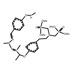 COP(=O)(CN(CCc1ccc(OC(C)/S(C)=P/N(C)/N=C/c2ccc(OPC)cc2)cc1)CP(=O)(OC)OC)OC